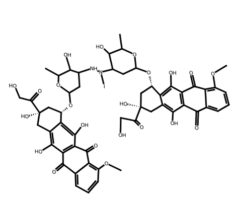 COc1cccc2c1C(=O)c1c(O)c3c(c(O)c1C2=O)C[C@@](O)(C(=O)CO)C[C@@H]3OC1CC(NN(I)C2CC(O[C@H]3C[C@](O)(C(=O)CO)Cc4c(O)c5c(c(O)c43)C(=O)c3c(OC)cccc3C5=O)OC(C)C2O)C(O)C(C)O1